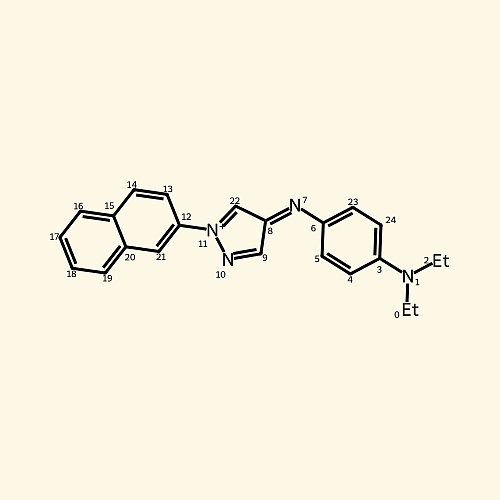 CCN(CC)c1ccc(N=C2C=N[N+](c3ccc4ccccc4c3)=C2)cc1